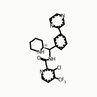 O=C(NC(c1cccc(-c2cnccn2)c1)[C@@H]1CCCCN1)c1nccc(C(F)(F)F)c1Cl